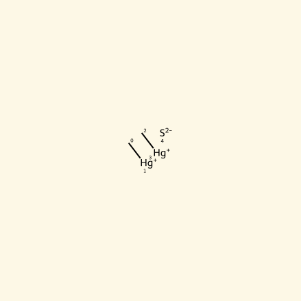 [CH3][Hg+].[CH3][Hg+].[S-2]